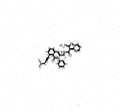 C[C@@H](NC(=O)c1c(N)nn2cccnc12)c1cc2cccc(C#CCN(C)C)c2c(=O)n1-c1ccccc1